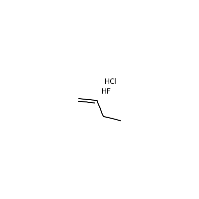 C=CCC.Cl.F